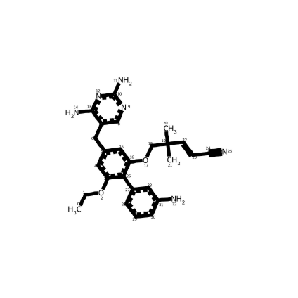 CCOc1cc(Cc2cnc(N)nc2N)cc(OCC(C)(C)C=CC#N)c1-c1cccc(N)c1